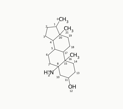 CC1CCC2C3CCC4(N)CC(O)CCC4(C)C3CCC12C